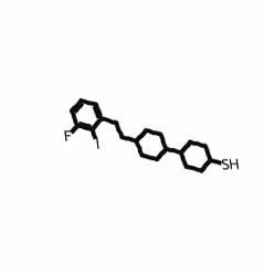 Fc1cccc(CCC2CCC(C3CCC(S)CC3)CC2)c1I